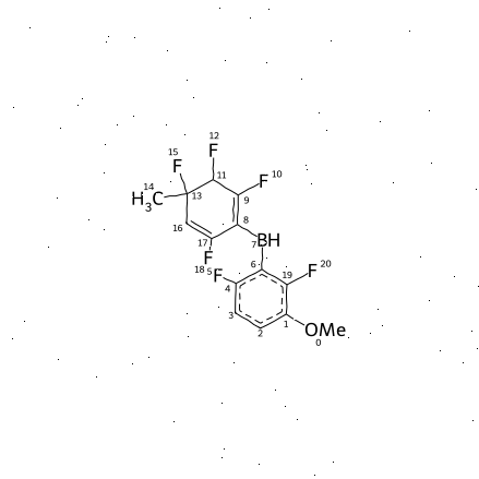 COc1ccc(F)c(BC2=C(F)C(F)C(C)(F)C=C2F)c1F